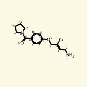 NC/C=C(\F)COc1ccc(C(=O)N2CCCC2)cc1